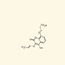 CC=COc1c(O)c2cccc(OCCC(=O)O)c2oc1=O